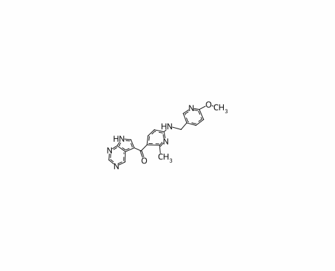 COc1ccc(CNc2ccc(C(=O)c3c[nH]c4ncncc34)c(C)n2)cn1